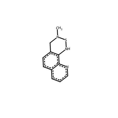 CN1Cc2ccc3cccnc3c2NS1